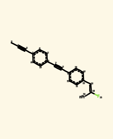 CC#Cc1ccc(C#Cc2ccc(/C=C(/F)CCC)cc2)cc1